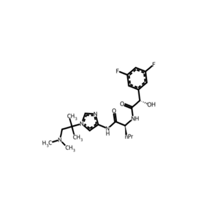 CCC[C@H](NC(=O)[C@@H](O)c1cc(F)cc(F)c1)C(=O)Nc1cn(C(C)(C)CN(C)C)cn1